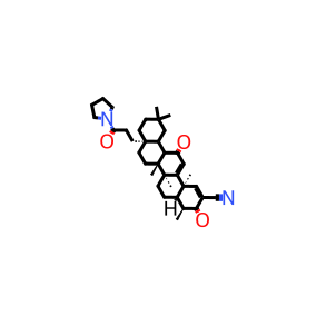 C[C@@H]1C(=O)C(C#N)=C[C@]2(C)C3=CC(=O)C4C5CC(C)(C)CC[C@]5(CCC(=O)N5CCCC5)CC[C@@]4(C)[C@]3(C)CC[C@@H]12